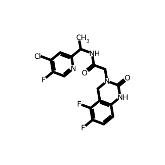 CC(NC(=O)CN1Cc2c(ccc(F)c2F)NC1=O)c1cc(Cl)c(F)cn1